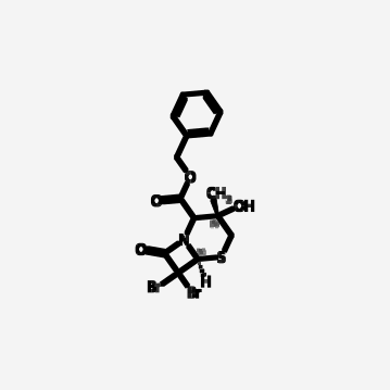 C[C@@]1(O)CS[C@@H]2N(C(=O)C2(Br)Br)C1C(=O)OCc1ccccc1